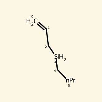 C=CC[SiH2]CCCC